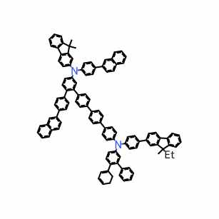 CCC1(C)c2ccccc2-c2ccc(-c3ccc(N(c4ccc(-c5ccc(-c6ccc(-c7cc(N(c8ccc(-c9ccc%10ccccc%10c9)cc8)c8ccc9c(c8)C(C)(C)c8ccccc8-9)ccc7-c7ccc(-c8ccc9ccccc9c8)cc7)cc6)cc5)cc4)c4ccc(C5=CC=CCC5)c(-c5ccccc5)c4)cc3)cc21